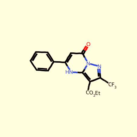 CCOC(=O)c1c(C(F)(F)F)nn2c(=O)cc(-c3ccccc3)[nH]c12